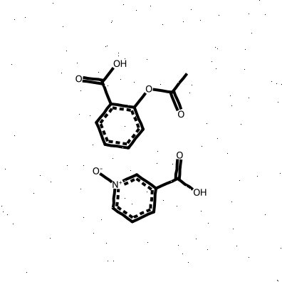 CC(=O)Oc1ccccc1C(=O)O.O=C(O)c1ccc[n+]([O-])c1